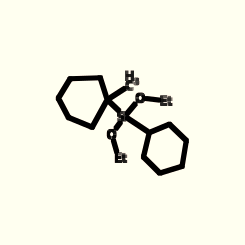 CCO[Si](OCC)(C1CCCCC1)C1(C)CCCCC1